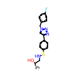 CC(C)C(O)CNSc1ccc(-c2cn(Cc3ccc(F)cc3)nn2)cc1